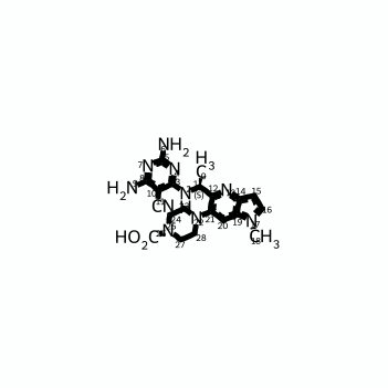 C[C@H](Nc1nc(N)nc(N)c1C#N)c1nc2ccn(C)c2cc1N1CCN(C(=O)O)CC1